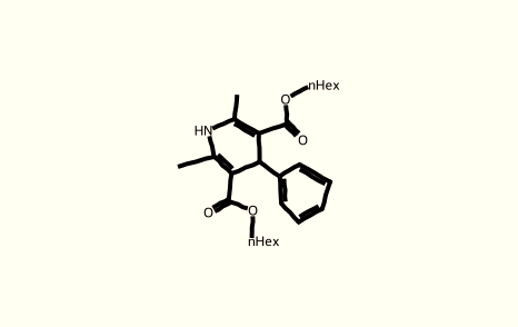 CCCCCCOC(=O)C1=C(C)NC(C)=C(C(=O)OCCCCCC)C1c1ccccc1